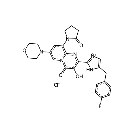 O=C1CCCN1c1cc(N2CCOCC2)cn2c(=O)c(O)c(C3=[N+]C=C(Cc4ccc(F)cc4)N3)nc12.[Cl-]